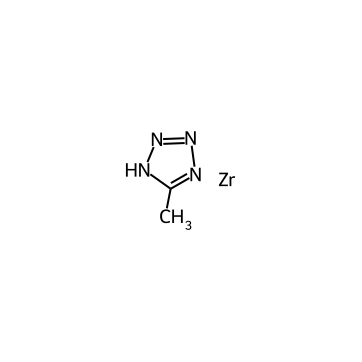 Cc1nnn[nH]1.[Zr]